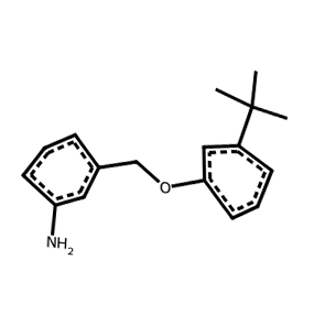 CC(C)(C)c1cccc(OCc2cccc(N)c2)c1